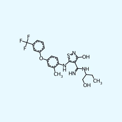 CCC(CO)NC(=N)c1c(O)nsc1Nc1ccc(Oc2cccc(C(F)(F)F)c2)cc1C